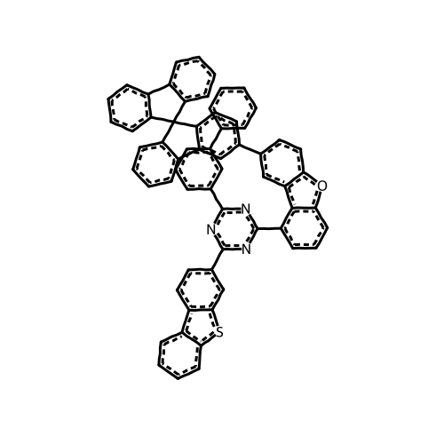 c1ccc(-c2cccc(-c3nc(-c4ccc5c(c4)sc4ccccc45)nc(-c4cccc5oc6ccc(-c7ccc8c(c7)-c7ccccc7C87c8ccccc8-c8ccccc87)cc6c45)n3)c2)cc1